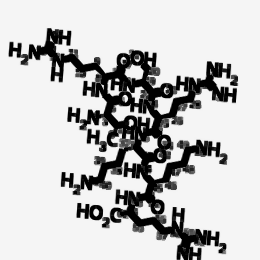 C[C@@H](O)[C@H](N)C(=O)N[C@@H](CCCNC(=N)N)C(=O)N[C@@H](CO)C(=O)N[C@@H](CCCNC(=N)N)C(=O)N[C@@H](CCCCN)C(=O)N[C@@H](CCCCN)C(=O)N[C@@H](CCCNC(=N)N)C(=O)O